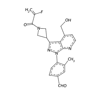 C=C(F)C(=O)N1CC(c2nn(-c3ccc(C=O)cc3C)c3nccc(CO)c23)C1